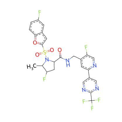 CC1C(F)CC(C(=O)NCc2cc(-c3cnc(C(F)(F)F)nc3)ncc2F)N1S(=O)(=O)c1cc2cc(F)ccc2o1